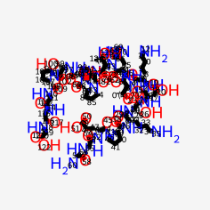 C[C@@H](O)[C@H](NC(=O)[C@H](CCCCN)NC(=O)[C@H](CC(=O)O)NC(=O)[C@H](CO)NC(=O)[C@H](CCCCN)NC(=O)[C@@H]1CCCN1C(=O)[C@H](CCC(=O)O)NC(=O)CNC(=O)CN)C(=O)N[C@@H](Cc1c[nH]cn1)C(=O)N[C@H](C(=O)N[C@@H](CO)C(=O)N1CCC[C@H]1C(=O)N1CCC[C@H]1C(=O)N[C@@H](CO)C(=O)N1CCC[C@H]1C(=O)NCC(=O)NCC(=O)NCC(=O)O)[C@@H](C)O